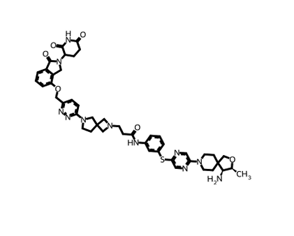 C[C@@H]1OCC2(CCN(c3cnc(Sc4cccc(NC(=O)CCN5CC6(CCN(c7ccc(COc8cccc9c8CN(C8CCC(=O)NC8=O)C9=O)nn7)C6)C5)c4)cn3)CC2)[C@@H]1N